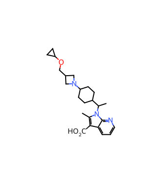 Cc1c(C(=O)O)c2cccnc2n1C(C)C1CCC(N2CC(COC3CC3)C2)CC1